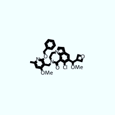 COc1cc(C)nc(OCc2ccccc2)c1CN1CCn2ccc3cc(C(OC)C4COC4)c(Cl)c(c32)C1=O